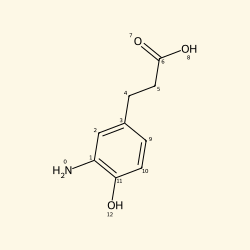 Nc1cc(CCC(=O)O)ccc1O